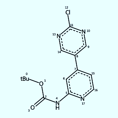 CC(C)(C)OC(=O)Nc1cc(-c2cnc(Cl)nc2)ccn1